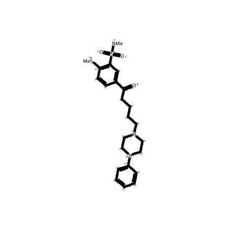 CNS(=O)(=O)c1cc(C(=O)CCCCN2CCN(c3ccccc3)CC2)ccc1SC